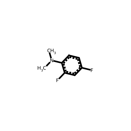 CN(C)c1[c]cc(F)cc1F